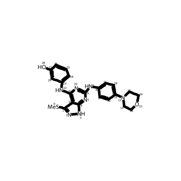 CSc1n[nH]c2nc(Nc3ccc(N4CCOCC4)cc3)nc(Nc3cccc(O)c3)c12